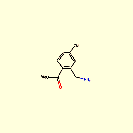 COC(=O)c1ccc(C#N)cc1CN